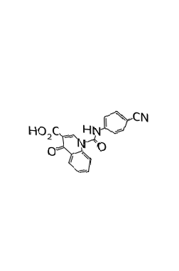 N#Cc1ccc(NC(=O)n2cc(C(=O)O)c(=O)c3ccccc32)cc1